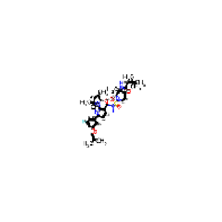 CC(C)COc1cc(F)cc(-c2ccc(C(=O)NS(=O)(=O)N3CCCC(C)(NC(=O)CC(C)(C)C)C3)c(N3CC(C)CC3(C)C)n2)c1